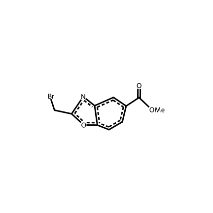 COC(=O)c1ccc2oc(CBr)nc2c1